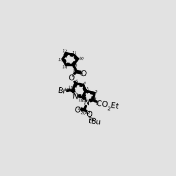 CCOC(=O)c1cc2cc(OC(=O)c3ccccc3)c(Br)nc2n1C(=O)OC(C)(C)C